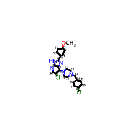 COc1ccc(-c2nc3c(N4CCN(Cc5ccc(Cl)cc5)CC4)c(Cl)cnc3[nH]2)cc1